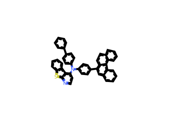 c1ccc(-c2ccc(N(c3ccc(-c4cc5ccccc5c5c4ccc4ccccc45)cc3)c3ccnc4sc5ccccc5c34)cc2)cc1